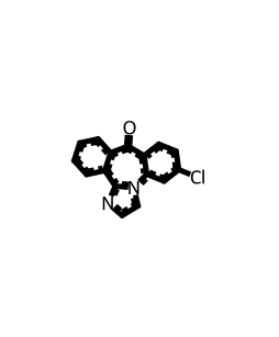 O=c1c2ccccc2c2nccn2c2cc(Cl)ccc12